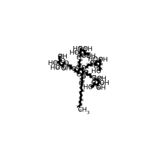 CCCCCCCCCCCOCCO[C@@H]1OC(COCCCO[C@@H]2OC(CO)[C@@H](O)C(O)[C@@H]2O)[C@@H](OCCCO[C@@H]2OC(CO)[C@@H](O)C(O)[C@@H]2O)C(OCCCO[C@@H]2OC(CO)CC(O)[C@@H]2O)[C@@H]1OCCCO[C@@H]1OC(CO)[C@@H](O)C(O)[C@@H]1O